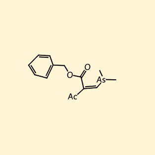 CC(=O)/C(=C/[As](C)C)C(=O)OCc1ccccc1